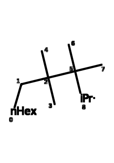 CCCCCCCC(C)(C)C(C)(C)[C](C)C